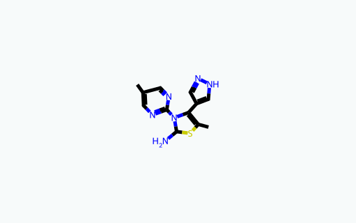 CC1=C(c2cn[nH]c2)N(c2ncc(C)cn2)C(N)S1